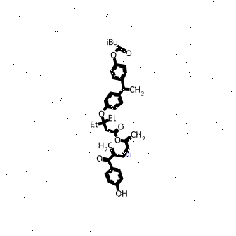 C=C(/C=C\C(=C)C(=O)c1ccc(O)cc1)OC(=O)CC(CC)(CC)Oc1ccc(C(C)c2ccc(OC(=O)C(C)CC)cc2)cc1